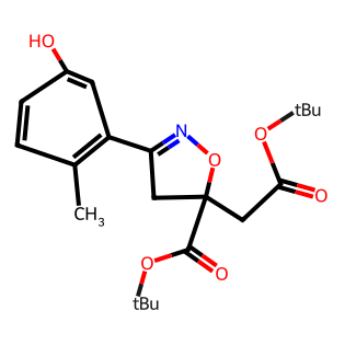 Cc1ccc(O)cc1C1=NOC(CC(=O)OC(C)(C)C)(C(=O)OC(C)(C)C)C1